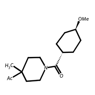 CO[C@H]1CC[C@H](C(=O)N2CCC(C)(C(C)=O)CC2)CC1